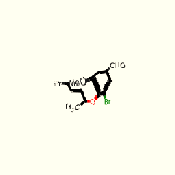 COc1cc(C=O)cc(Br)c1OC(C)CCCC(C)C